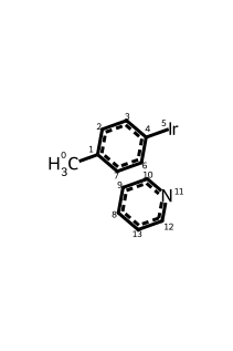 Cc1cc[c]([Ir])cc1.c1ccncc1